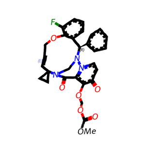 COC(=O)OCOc1c2n(ccc1=O)N1CN(C2=O)C2(/C=C/COc3c(F)cccc3[C@H]1c1ccccc1)CC2